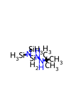 CC(C)(C)NN[SiH2]N([SiH3])[SiH3]